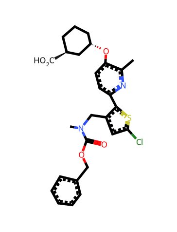 Cc1nc(-c2sc(Cl)cc2CN(C)C(=O)OCc2ccccc2)ccc1O[C@H]1CCC[C@H](C(=O)O)C1